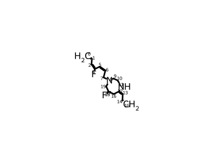 C=C/C=C(F)\C=C/CN1CCN/C(=C/C=C)CC(F)C1